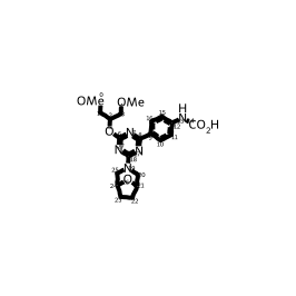 COCC(COC)Oc1nc(-c2ccc(NC(=O)O)cc2)nc(N2CC3CCC(C2)O3)n1